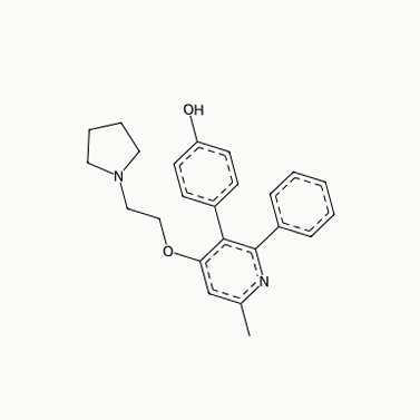 Cc1cc(OCCN2CCCC2)c(-c2ccc(O)cc2)c(-c2ccccc2)n1